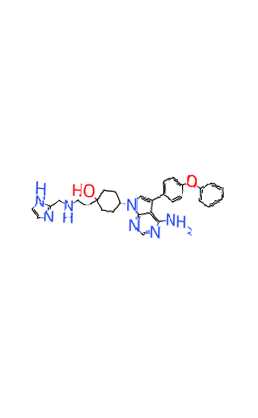 Nc1ncnc2c1c(-c1ccc(Oc3ccccc3)cc1)cn2[C@H]1CC[C@@](O)(CCNCc2ncc[nH]2)CC1